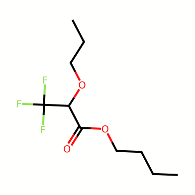 CCCCOC(=O)C(OCCC)C(F)(F)F